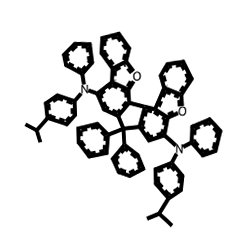 CC(C)c1ccc(N(c2ccccc2)c2cc3c(c4c2oc2ccccc24)-c2c(cc(N(c4ccccc4)c4ccc(C(C)C)cc4)c4c2oc2ccccc24)C3(c2ccccc2)c2ccccc2)cc1